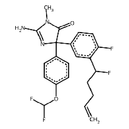 C=CCCC(F)c1cc(C2(c3ccc(OC(F)F)cc3)N=C(N)N(C)C2=O)ccc1F